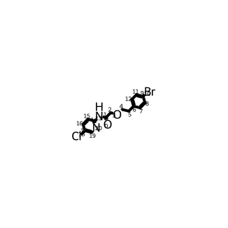 O=C(COCCc1ccc(Br)cc1)Nc1ccc(Cl)cn1